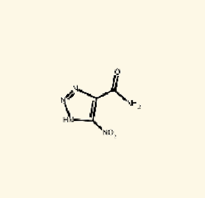 NC(=O)c1nn[nH]c1[N+](=O)[O-]